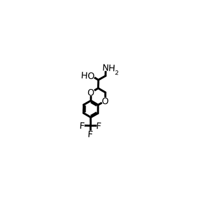 NCC(O)C1COc2cc(C(F)(F)F)ccc2O1